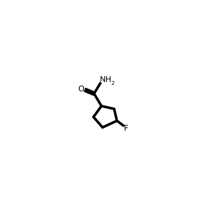 NC(=O)C1CCC(F)C1